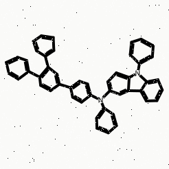 c1ccc(-c2ccc(-c3ccc(N(c4ccccc4)c4ccc5c(c4)c4ccccc4n5-c4ccccc4)cc3)cc2-c2ccccc2)cc1